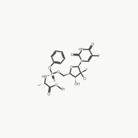 CC(C)OC(=O)[C@H](C)N[P@@](=S)(OC[C@H]1O[C@@H](n2cc(F)c(=O)[nH]c2=O)[C@](F)(Cl)[C@@H]1O)Oc1ccccc1